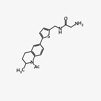 CC(=O)N1c2ccc(-c3ccc(CNC(=O)CN)s3)cc2CCC1C